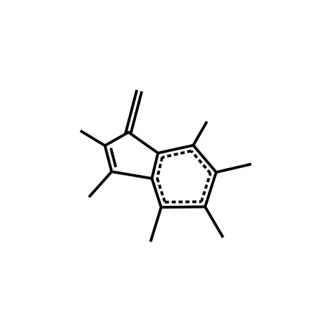 C=C1C(C)=C(C)c2c(C)c(C)c(C)c(C)c21